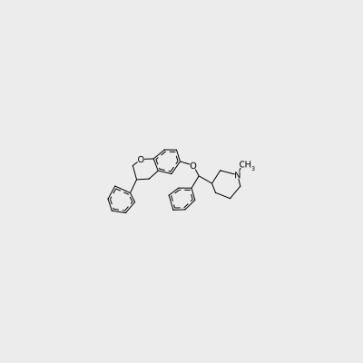 CN1CCCC(C(Oc2ccc3c(c2)CC(c2ccccc2)CO3)c2ccccc2)C1